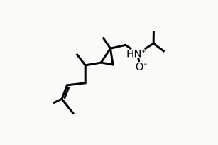 CC(C)=CCC(C)C1CC1(C)C[NH+]([O-])C(C)C